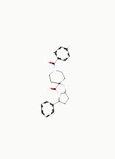 O=C(c1ccc(F)cc1F)N1CCC2(CC1)OC1CCC(c3ccccc3)N1C2=O